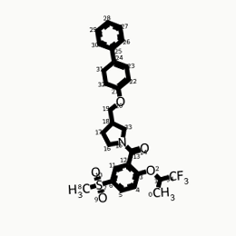 CC(Oc1ccc(S(C)(=O)=O)cc1C(=O)N1CCC(COC2=CC=C(c3ccccc3)CC2)C1)C(F)(F)F